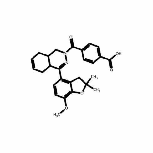 COc1ccc(C2=NN(C(=O)c3ccc(C(=O)O)cc3)CC3CC=CCC23)c2c1OC(C)(C)C2